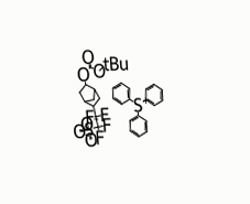 CC(C)(C)OC(=O)OC1CC2CC1CC2C(F)(F)C(F)(F)S(=O)(=O)[O-].c1ccc([S+](c2ccccc2)c2ccccc2)cc1